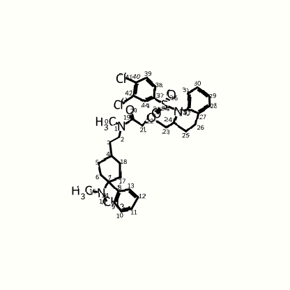 CN(CCC1CCC(c2ccccc2)(N(C)C)CC1)C(=O)COCC1CCc2ccccc2N1S(=O)(=O)c1ccc(Cl)c(Cl)c1